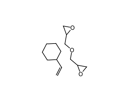 C(OCC1CO1)C1CO1.C=CC1CCCCC1